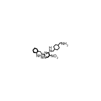 NCC1CCC(CNc2nc(NCc3ccccc3N)ncc2[N+](=O)[O-])CC1